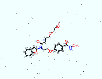 COCCOC/C=C/C(=O)N(CCOc1ccc(C(=O)NO)cc1)c1cc2ccccc2o1